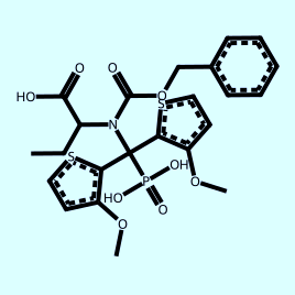 CCC(C(=O)O)N(C(=O)OCc1ccccc1)C(c1sccc1OC)(c1sccc1OC)P(=O)(O)O